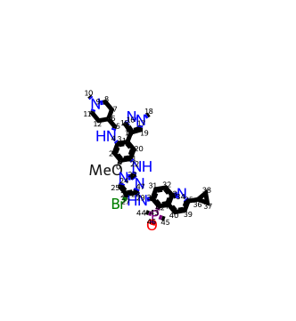 COc1cc(NCC2CCN(C)CC2)c(-c2cnn(C)c2)cc1Nc1ncc(Br)c(Nc2ccc3nc(C4CC4)ccc3c2P(C)(C)=O)n1